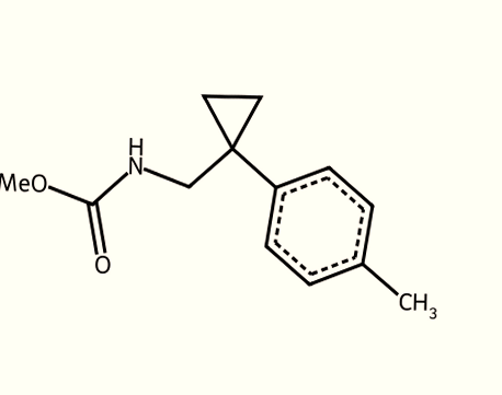 COC(=O)NCC1(c2ccc(C)cc2)CC1